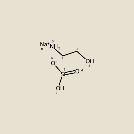 NCCO.O=[Si]([O-])O.[Na+]